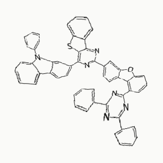 c1ccc(-c2nc(-c3ccccc3)nc(-c3cccc4oc5cc(-c6nc(-c7ccc8c9ccccc9n(-c9ccccc9)c8c7)c7sc8ccccc8c7n6)ccc5c34)n2)cc1